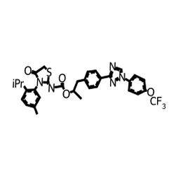 Cc1ccc(C(C)C)c(N2C(=O)CS/C2=N\C(=O)OC(C)Cc2ccc(-c3ncn(-c4ccc(OC(F)(F)F)cc4)n3)cc2)c1